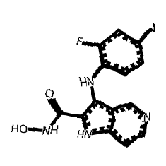 O=C(NO)c1[nH]c2ccncc2c1Nc1ccc(I)cc1F